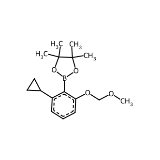 COCOc1cccc(C2CC2)c1B1OC(C)(C)C(C)(C)O1